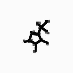 CC1C(C(F)(F)F)=NN(C)C1C